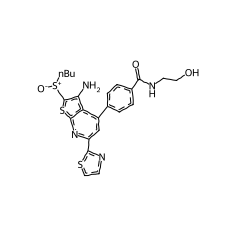 CCCC[S+]([O-])c1sc2nc(-c3nccs3)cc(-c3ccc(C(=O)NCCO)cc3)c2c1N